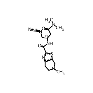 CN1CCc2nc(C(=O)N[C@@H](CN=[N+]=[N-])CC(=O)N(C)C)sc2C1